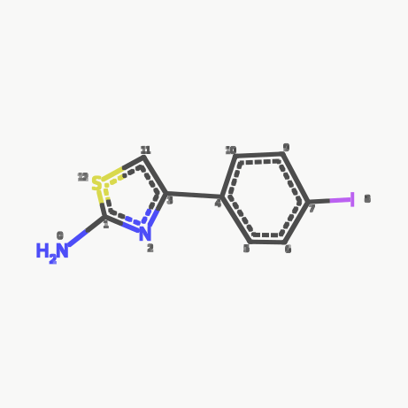 Nc1nc(-c2ccc(I)cc2)cs1